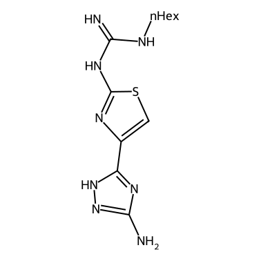 CCCCCCNC(=N)Nc1nc(-c2nc(N)n[nH]2)cs1